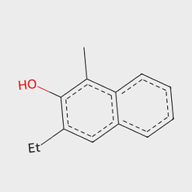 CCc1cc2ccccc2c(C)c1O